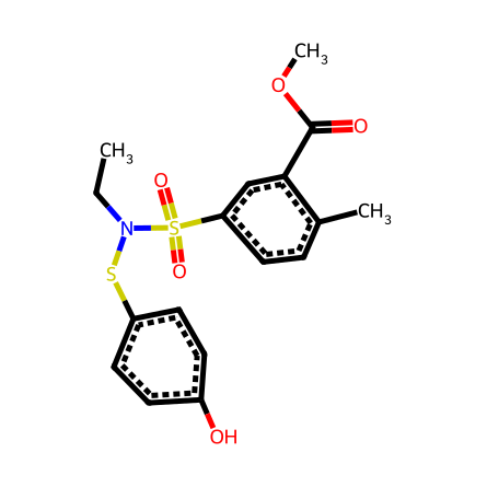 CCN(Sc1ccc(O)cc1)S(=O)(=O)c1ccc(C)c(C(=O)OC)c1